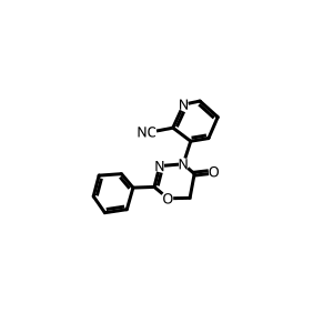 N#Cc1ncccc1N1N=C(c2ccccc2)OCC1=O